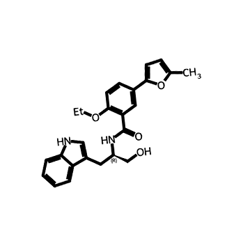 CCOc1ccc(-c2ccc(C)o2)cc1C(=O)N[C@@H](CO)Cc1c[nH]c2ccccc12